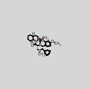 COc1ccc(CN(C2CC2)[C@H](CN(C)Cc2ccccc2)C(=O)N2CCC[C@H]3CCCC[C@@H]32)c(OC)c1